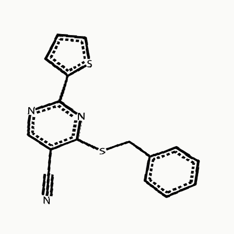 N#Cc1cnc(-c2cccs2)nc1SCc1ccccc1